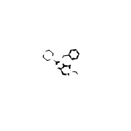 CCOC(=O)Cn1ncc2nc(N3CCNCC3)n(Cc3ccccc3)c2c1=O